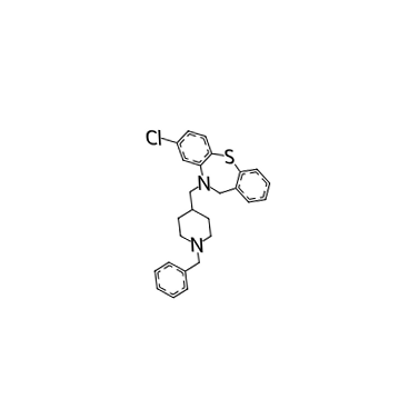 Clc1ccc2c(c1)N(CC1CCN(Cc3ccccc3)CC1)Cc1ccccc1S2